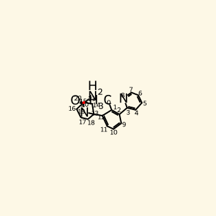 Cc1c(-c2ccccn2)cccc1C12CCCC(C1)N2C(N)=O